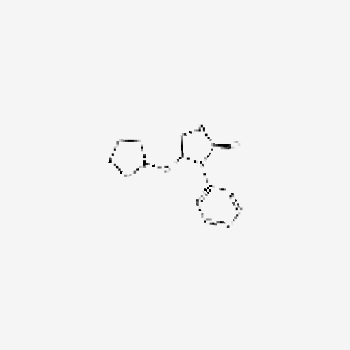 O=C1OCC(ON2CCCC2)N1c1ccccc1